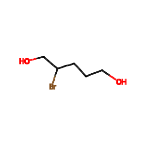 OCCCC(Br)CO